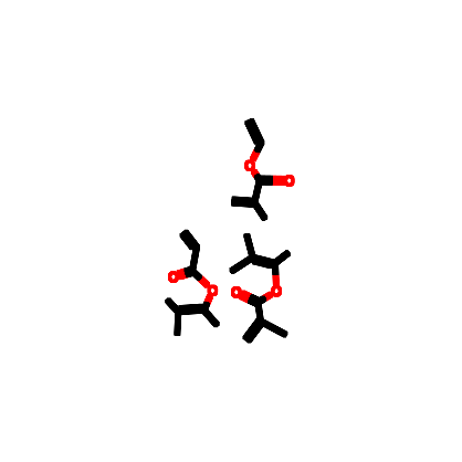 C=C(C)C(=O)OC(C)=C(C)C.C=CC(=O)OC(C)=C(C)C.C=COC(=O)C(=C)C